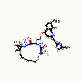 COc1ccc2c(OCC[C@@H]3NC(=O)N(C)CCCC/C=C\[C@@H]4C[C@@]4(C(=O)O)NC3=O)cc(-c3nc(C(C)C)cs3)nc2c1F